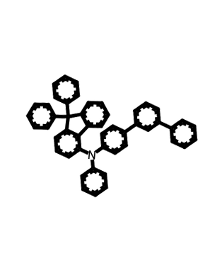 c1ccc(-c2cccc(-c3ccc(N(c4ccccc4)c4cccc5c4-c4ccccc4C5(c4ccccc4)c4ccccc4)cc3)c2)cc1